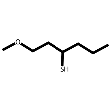 CCCC(S)CCOC